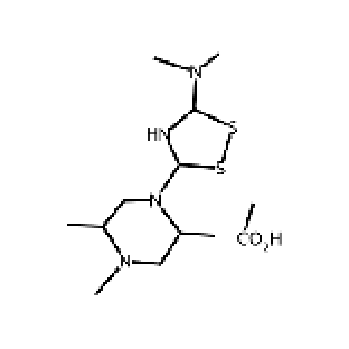 CC(=O)O.CC1CN(C2NC(N(C)C)SS2)C(C)CN1C